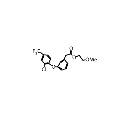 COCCOC(=O)Cc1cccc(Oc2ccc(C(F)(F)F)cc2Cl)c1